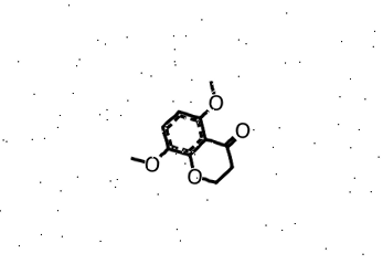 COc1ccc(OC)c2c1OCCC2=O